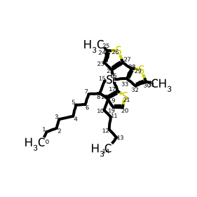 CCCCCCCCC(CCCCCC)C[Si]1(c2cccs2)c2cc(C)sc2-c2sc(C)cc21